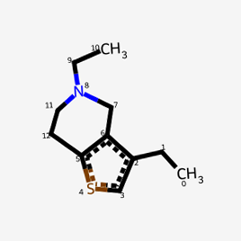 CCc1csc2c1CN(CC)CC2